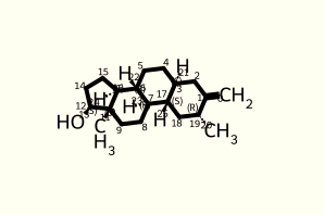 C=C1C[C@@H]2CC[C@@H]3[C@H](CC[C@]4(C)[C@@H](O)CC[C@@H]34)[C@H]2C[C@H]1C